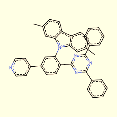 Cc1ccc2c3ccc(C)cc3n(-c3cc(-c4ccncc4)ccc3-c3nc(-c4ccccc4)nc(-c4ccccc4)n3)c2c1